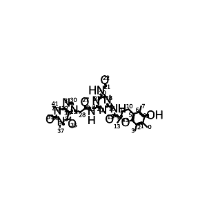 Cc1c(C)c2c(c(C)c1O)CCC(C)(C(=O)Nc1nc(NC=O)nc(NC(=O)Cn3cnc4c3c(=O)n(C)c(=O)n4C)n1)O2